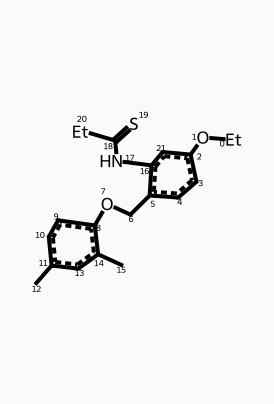 CCOc1ccc(COc2ccc(C)cc2C)c(NC(=S)CC)c1